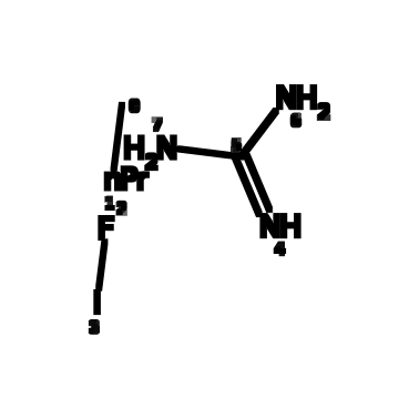 CCCC.FI.N=C(N)N